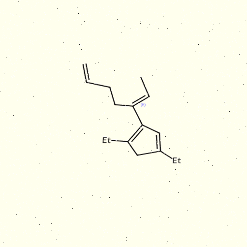 C=CCC/C(=C\C)C1=C(CC)CC(CC)=C1